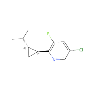 CC(C)[C@H]1C[C@@H]1c1ncc(Cl)cc1F